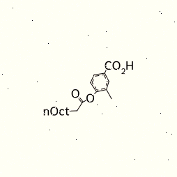 CCCCCCCCCC(=O)Oc1ccc(C(=O)O)cc1C